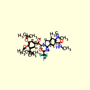 CNC(=O)c1cc2c(cc1N(C)C)CN(CC(=O)c1cc(OC(C)C)c(OC)c(C(C)(C)C)c1)C2=NC(=O)C(F)(F)F